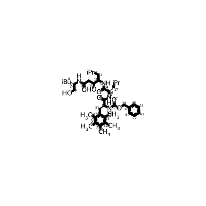 CCC(C)[C@@H](CO)NC(=O)CC(O)C(CC(C)C)NC(=O)[C@H](CC(C)C)NC(=O)[C@H](Cc1c(C)c(C)c(C)c(C)c1C)NC(=O)OCc1ccccc1